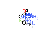 NC1=NC2=NC(CC3CCCN3Cc3cc(C(F)(F)F)ccc3F)(c3ccco3)NN2C(N)=N1